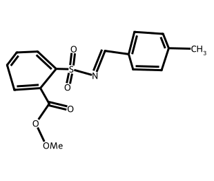 COOC(=O)c1ccccc1S(=O)(=O)/N=C/c1ccc(C)cc1